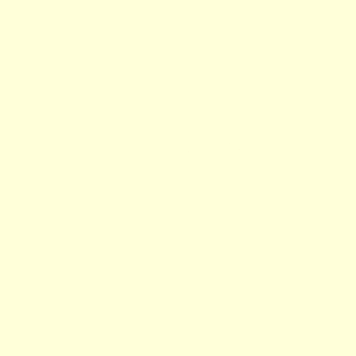 [CH2]CCC(CCCCCCCCC)CCCCCCCCCCCCCCCCCCCC